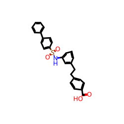 O=C(O)c1ccc(CCc2cccc(NS(=O)(=O)c3ccc(-c4ccccc4)cc3)c2)cc1